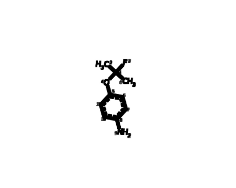 CC(C)(F)Oc1ccc(N)cc1